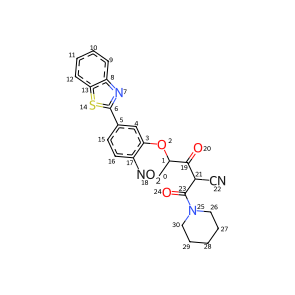 CC(Oc1cc(-c2nc3ccccc3s2)ccc1[N+](=O)[O-])C(=O)C(C#N)C(=O)N1CCCCC1